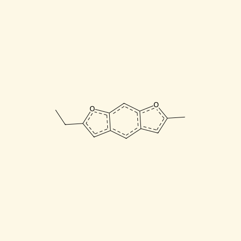 CCc1cc2cc3cc(C)oc3cc2o1